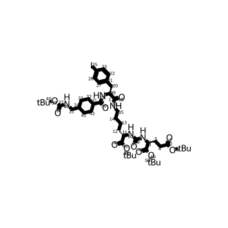 CC(C)(C)OC(=O)CC[C@H](NC(=O)N[C@@H](CCCCNC(=O)[C@H](Cc1ccc(I)cc1)NC(=O)C1CCC(CNC(=O)OC(C)(C)C)CC1)C(=O)OC(C)(C)C)C(=O)OC(C)(C)C